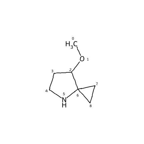 COC1CCNC12CC2